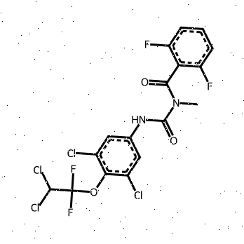 CN(C(=O)Nc1cc(Cl)c(OC(F)(F)C(Cl)Cl)c(Cl)c1)C(=O)c1c(F)cccc1F